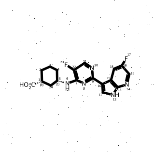 O=C(O)[C@@H]1CCC[C@H](Nc2nc(-c3c[nH]c4ncc(F)cc34)ncc2F)C1